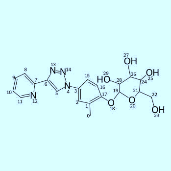 Cc1cc(-n2cc(-c3ccccn3)nn2)ccc1OC1OC(CO)C(O)C(O)C1O